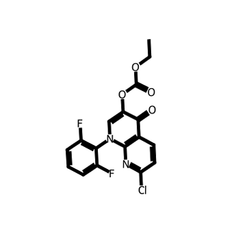 CCOC(=O)Oc1cn(-c2c(F)cccc2F)c2nc(Cl)ccc2c1=O